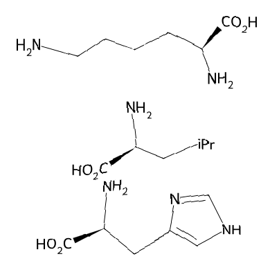 CC(C)C[C@H](N)C(=O)O.NCCCC[C@H](N)C(=O)O.N[C@@H](Cc1c[nH]cn1)C(=O)O